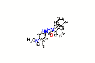 CN(C)c1ccc(NC(=O)NC2CCCCC2(C)C2CCCCC2)cc1